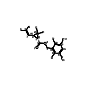 CC(C)=C[C@@H]1[C@@H](C(=O)OCc2c(C)c(F)cc(F)c2C)C1(C)C